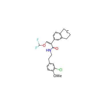 COc1ccc(CCNC(=O)/C(=C\OC(F)F)c2ccc3c(c2)CCCC3)cc1Cl